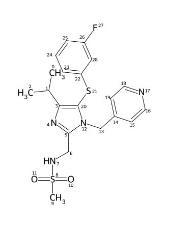 CC(C)c1nc(CNS(C)(=O)=O)n(Cc2ccncc2)c1Sc1cccc(F)c1